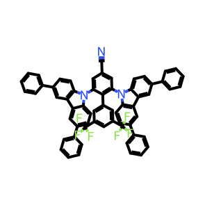 N#Cc1cc(-n2c3ccc(-c4ccccc4)cc3c3cc(-c4ccccc4)ccc32)c(-c2cc(C(F)(F)F)cc(C(F)(F)F)c2)c(-n2c3ccc(-c4ccccc4)cc3c3cc(-c4ccccc4)ccc32)c1